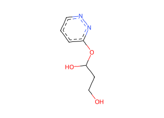 OCCC(O)Oc1cccnn1